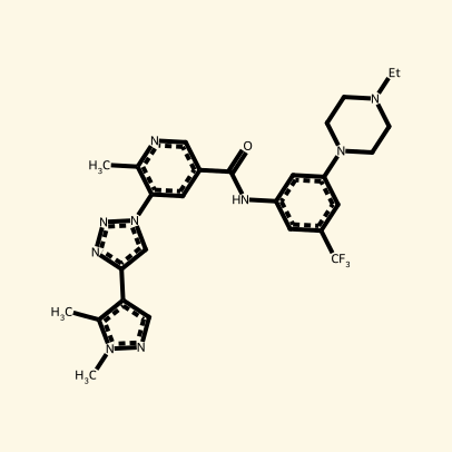 CCN1CCN(c2cc(NC(=O)c3cnc(C)c(-n4cc(-c5cnn(C)c5C)nn4)c3)cc(C(F)(F)F)c2)CC1